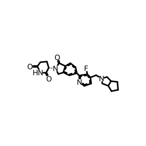 O=C1CC[C@H](N2Cc3cc(-c4nccc(CN5CC6CCCC6C5)c4F)ccc3C2=O)C(=O)N1